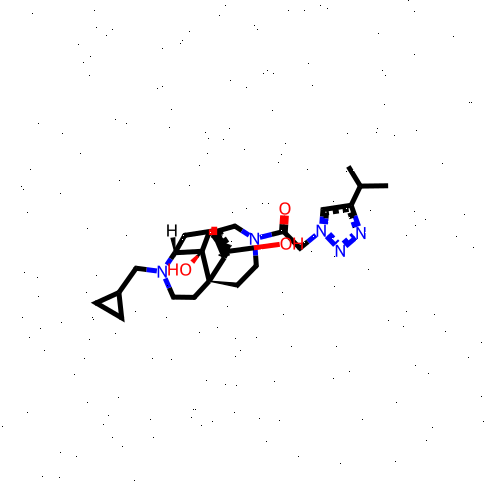 CC(C)c1cn(CC(=O)N2CC[C@]34CCN(CC5CC5)[C@H](Cc5ccc(O)cc53)[C@]4(O)CC2)nn1